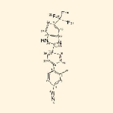 Cc1cc(C#N)ccc1-c1ccc(-c2nc3cc(C(F)(F)F)ccc3[nH]2)cc1